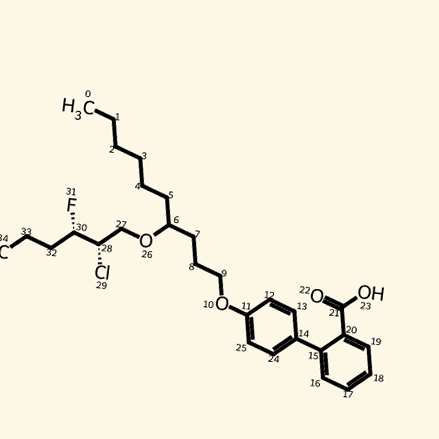 CCCCCCC(CCCOc1ccc(-c2ccccc2C(=O)O)cc1)OC[C@H](Cl)[C@@H](F)CCC